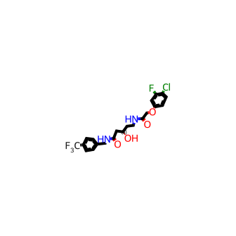 O=C(COc1ccc(Cl)c(F)c1)NCC[C@H](O)CC(=O)NCc1ccc(C(F)(F)F)cc1